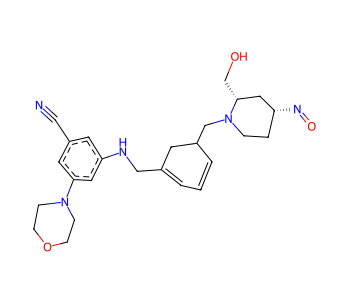 N#Cc1cc(NCC2=CC=CC(CN3CC[C@@H](N=O)C[C@H]3CO)C2)cc(N2CCOCC2)c1